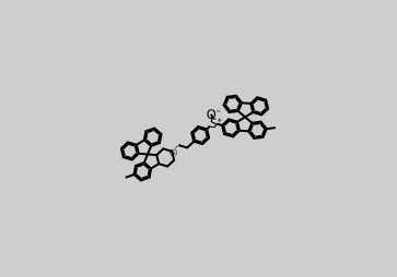 Cc1ccc2c(c1)C1(c3ccccc3-c3ccccc31)c1cc([S+]([O-])c3ccc(CC[C@@H]4CCC5c6ccc(C)cc6C6(c7ccccc7-c7ccccc76)C5C4)cc3)ccc1-2